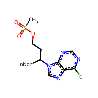 CCCCCCCCCC(CCOS(C)(=O)=O)n1cnc2c(Cl)ncnc21